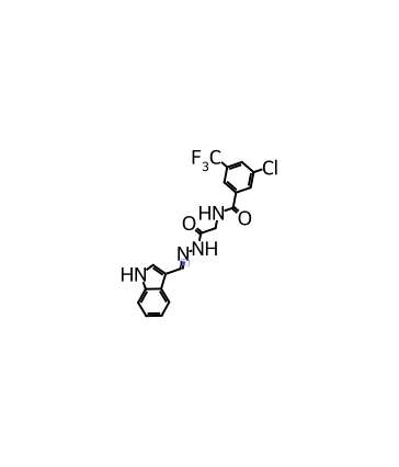 O=C(CNC(=O)c1cc(Cl)cc(C(F)(F)F)c1)N/N=C/c1c[nH]c2ccccc12